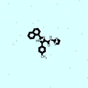 Cc1ccc(-c2[nH]c(-c3cccc4ccccc34)nc2C(=O)Nc2nccs2)cc1